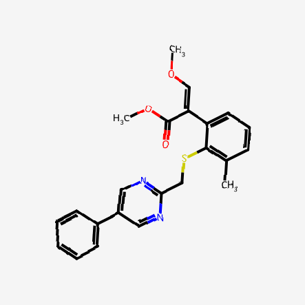 COC=C(C(=O)OC)c1cccc(C)c1SCc1ncc(-c2ccccc2)cn1